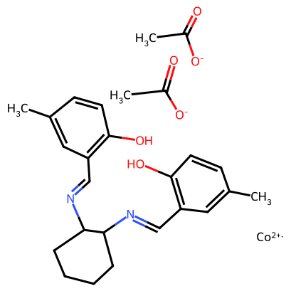 CC(=O)[O-].CC(=O)[O-].Cc1ccc(O)c(C=NC2CCCCC2N=Cc2cc(C)ccc2O)c1.[Co+2]